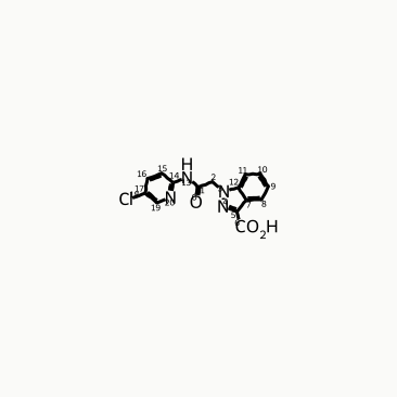 O=C(Cn1nc(C(=O)O)c2ccccc21)Nc1ccc(Cl)cn1